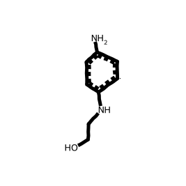 Nc1c[c]c(NCCO)cc1